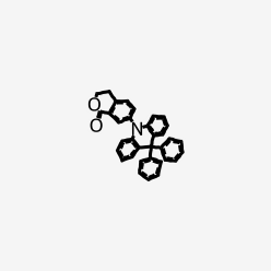 O=C1OCCc2ccc(N3c4ccccc4C(c4ccccc4)(c4ccccc4)c4ccccc43)cc21